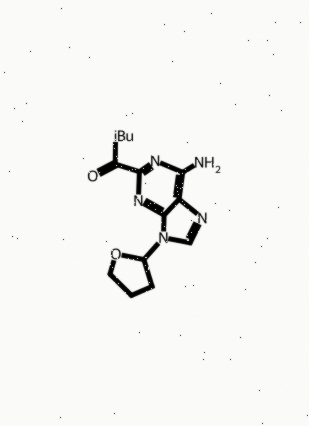 CCC(C)C(=O)c1nc(N)c2ncn(C3CCCO3)c2n1